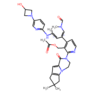 CC(=O)OCc1c(C(/C=C(\C)Nc2ccc(N3CC(O)C3)cn2)=C/N(C)C=O)ccnc1N1CCn2c(cc3c2CC(C)(C)C3)C1=O